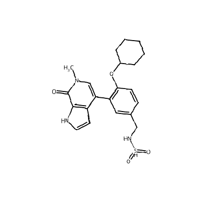 Cn1cc(-c2cc(CN[SH](=O)=O)ccc2OC2CCCCC2)c2cc[nH]c2c1=O